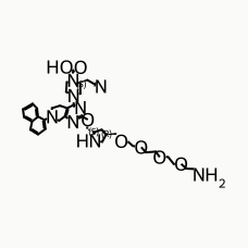 N#CC[C@H]1CN(c2nc(OC[C@@H]3C[C@@H](COCCOCCOCCOCCN)CN3)nc3c2CCN(c2cccc4ccccc24)C3)CCN1C(=O)O